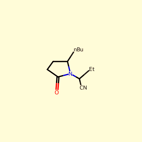 CCCCC1CCC(=O)N1C(C#N)CC